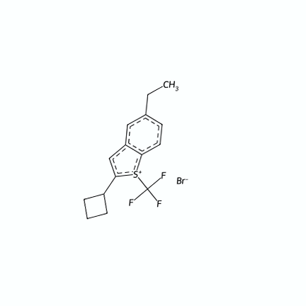 CCc1ccc2c(c1)cc(C1CCC1)[s+]2C(F)(F)F.[Br-]